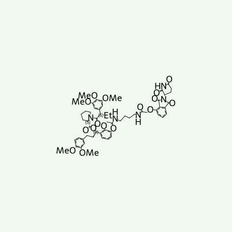 CC[C@H](C(=O)N1CCCC[C@H]1C(=O)O[C@H](CCc1ccc(OC)c(OC)c1)c1ccccc1OCC(=O)NCCCCNC(=O)COc1cccc2c1C(=O)N(C1CCC(=O)NC1=O)C2=O)c1cc(OC)c(OC)c(OC)c1